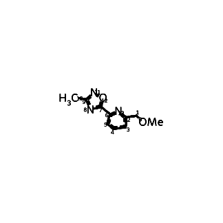 COCc1cccc(-c2nc(C)no2)n1